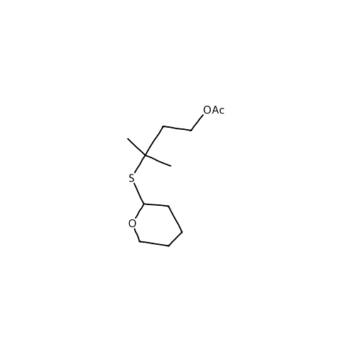 CC(=O)OCCC(C)(C)SC1CCCCO1